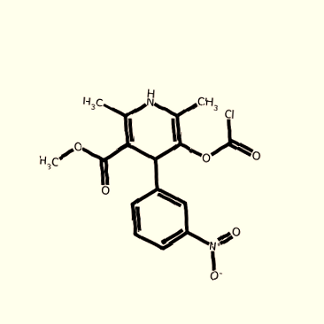 COC(=O)C1=C(C)NC(C)=C(OC(=O)Cl)C1c1cccc([N+](=O)[O-])c1